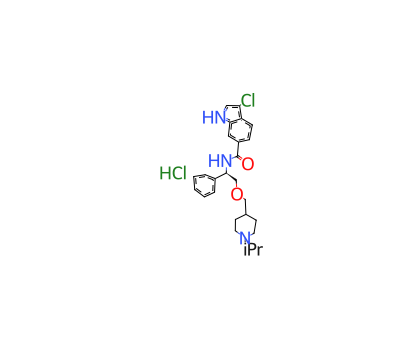 CC(C)N1CCC(COC[C@H](NC(=O)c2ccc3c(Cl)c[nH]c3c2)c2ccccc2)CC1.Cl